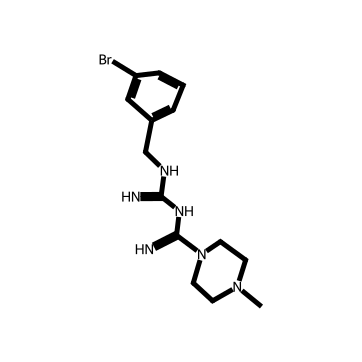 CN1CCN(C(=N)NC(=N)NCc2cccc(Br)c2)CC1